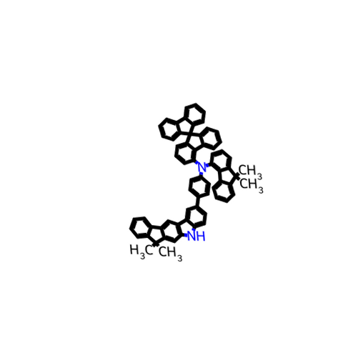 CC1(C)c2ccccc2-c2cc3c(cc21)[nH]c1ccc(-c2ccc(N(c4cccc5c4-c4ccccc4C5(C)C)c4cccc5c4-c4ccccc4C54c5ccccc5-c5ccccc54)cc2)cc13